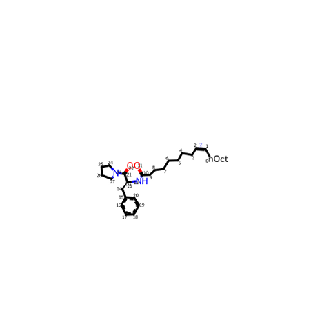 CCCCCCCC/C=C\CCCCCCCC(=O)N[C@@H](Cc1ccccc1)C(=O)N1CCCC1